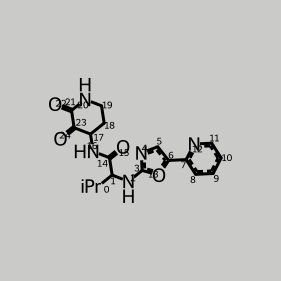 CC(C)C(Nc1ncc(-c2ccccn2)o1)C(=O)NC1CCNC(=O)C1=O